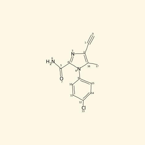 C#Cc1nc(C(N)=O)n(-c2ccc(Cl)cc2)c1C